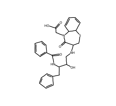 O=C(O)CN1C(=O)C(NCC(O)C(Cc2ccccc2)NC(=O)c2ccccc2)CSC2C=CC=CC21